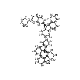 c1ccc(-c2ccc3ccc(-n4c5ccc(-c6ccc7c(c6)c6ccccc6n7-c6cccc7oc8ccccc8c67)cc5c5ccc6ccccc6c54)cc3c2)cc1